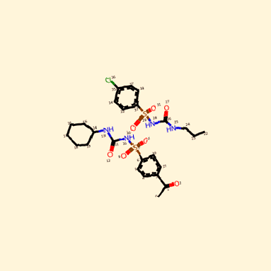 CC(=O)c1ccc(S(=O)(=O)NC(=O)NC2CCCCC2)cc1.CCCNC(=O)NS(=O)(=O)c1ccc(Cl)cc1